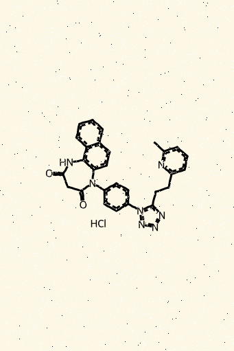 Cc1cccc(CCc2nnnn2-c2ccc(N3C(=O)CC(=O)Nc4c3ccc3ccccc43)cc2)n1.Cl